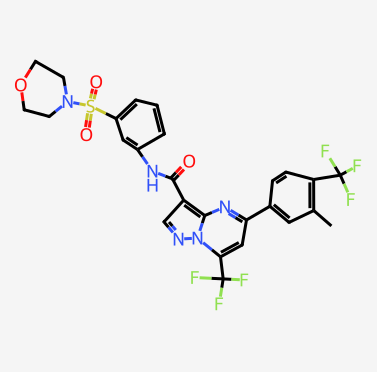 Cc1cc(-c2cc(C(F)(F)F)n3ncc(C(=O)Nc4cccc(S(=O)(=O)N5CCOCC5)c4)c3n2)ccc1C(F)(F)F